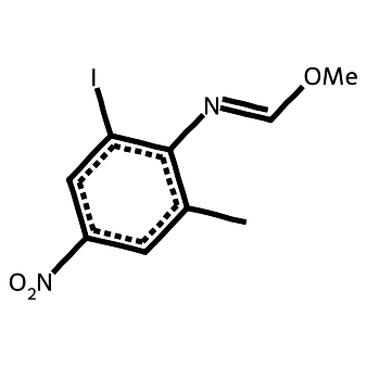 COC=Nc1c(C)cc([N+](=O)[O-])cc1I